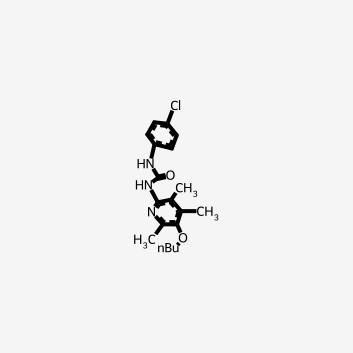 CCCCOc1c(C)nc(NC(=O)Nc2ccc(Cl)cc2)c(C)c1C